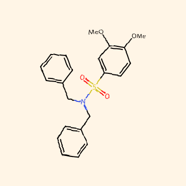 COc1ccc(S(=O)(=O)N(Cc2ccccc2)Cc2ccccc2)cc1OC